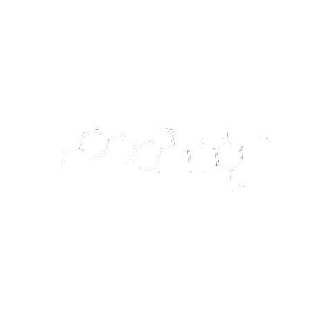 COc1cc(OC)c(I)c(NC(=O)c2csc3c(Nc4ccc(N(C)C)cc4)ncnc23)c1C